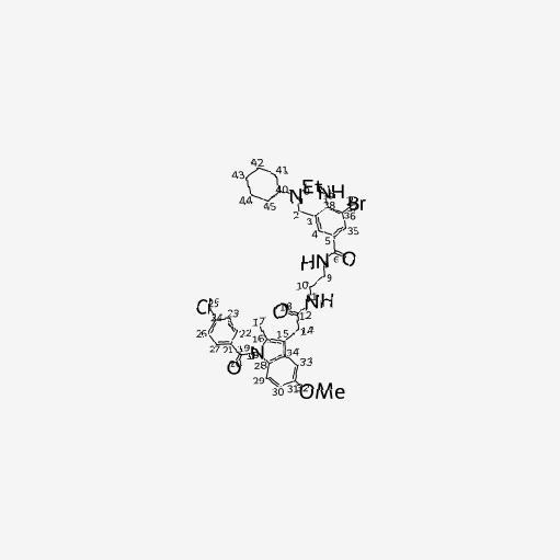 CCN(Cc1cc(C(=O)NCCNC(=O)Cc2c(C)n(C(=O)c3ccc(Cl)cc3)c3ccc(OC)cc23)cc(Br)c1N)C1CCCCC1